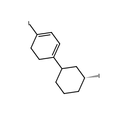 IC1=CC=C(C2CCC[C@@H](I)C2)CC1